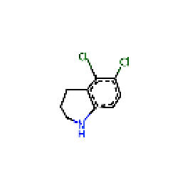 Clc1ccc2c(c1Cl)CCCN2